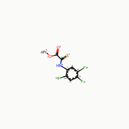 CCCOC(=O)C(=S)Nc1cc(F)c(F)cc1F